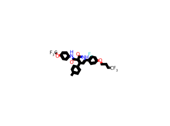 Cc1ccc(-c2cc(-c3ccc(OCCCC(F)(F)F)cc3F)[nH]c(=O)c2C(=O)Nc2ccc(OC(F)(F)F)cc2)cc1